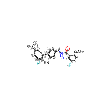 COc1ccc(F)cc1C(=O)NCc1ccc(-c2cc(C(C)C(F)(F)F)cc(F)c2C#N)cc1